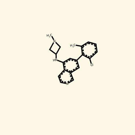 Cc1cccc(Cl)c1-c1cc(NC2CN(C)C2)c2ccncc2c1